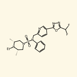 CCN1[C@H](C)CN(S(=O)(=O)N(Cc2ccc(-c3nnc(C(F)F)o3)cn2)c2ccccc2)C[C@@H]1C